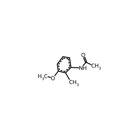 COc1cccc(NC(C)=O)c1C